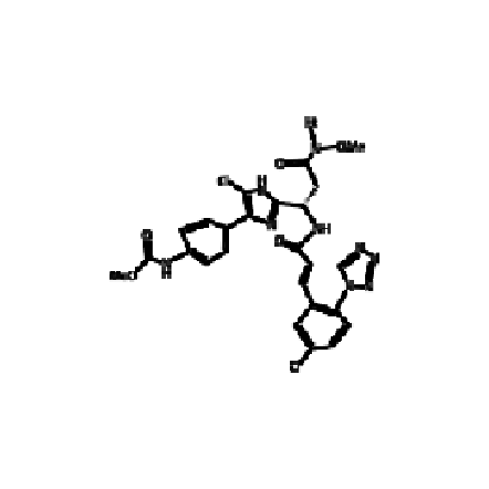 CCN(OC)C(=O)C[C@H](NC(=O)C=Cc1cc(Cl)ccc1-n1cnnn1)c1nc(-c2ccc(NC(=O)OC)cc2)c(Cl)[nH]1